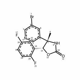 C[C@@]1(c2cncc(Br)c2)NC(=O)O[C@@H]1c1cc(F)ccc1F